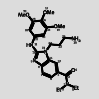 CCN(CC)C(=O)c1ccc2nc(Nc3cc(OC)c(OC)c(OC)c3)n(CCCN)c2c1